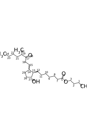 CCCCOC(=O)CCCCCC[C@@H]1C(=CCC(=O)C(C)CCCC)CC[C@H]1O